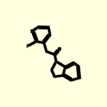 O=C(Cc1cccnc1F)N1CCc2ccccc21